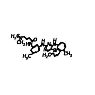 C=C/C=C\C1=CC(Nc2nc(NC3=CC=C(C)CC(NC(=O)/C=C/CN(C)C)=C3)ncc2Br)=CC=CC1C